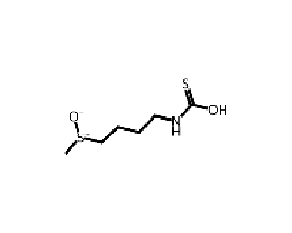 C[S+]([O-])CCCCNC(O)=S